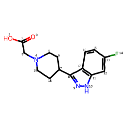 O=C(O)CN1CCC(c2n[nH]c3cc(F)ccc23)CC1